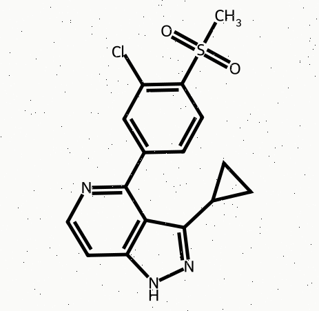 CS(=O)(=O)c1ccc(-c2nccc3[nH]nc(C4CC4)c23)cc1Cl